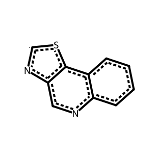 [c]1nc2cnc3ccccc3c2s1